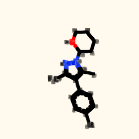 CCc1ccc(-c2c(C(F)(F)F)nn(C3CCCCO3)c2C)cc1